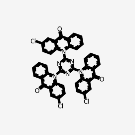 O=c1c2ccccc2n(-c2nc(-n3c4ccccc4c(=O)c4cc(Cl)ccc43)nc(-n3c4ccccc4c(=O)c4cc(Cl)ccc43)n2)c2ccc(Cl)cc12